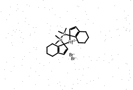 C[Si]1(C)[C]2(C=CC3=C2CCCC3)[Hf+2][C]2(C=CC3=C2CCCC3)[Si]1(C)C.[Br-].[Br-]